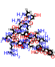 CC[C@H](C)[C@H](NC(=O)[C@@H]1C[C@@H](O)CN1C(=O)[C@@H](N)C(C)C)C(=O)N[C@@H](CCN)C(=O)N[C@@H](Cc1ccc(O)cc1)C(=O)N[C@H](C(=O)N[C@@H](CC(N)=O)C(=O)N[C@@H](CCCNC(=N)N)C(=O)N[C@@H](CCN)C(=O)N[C@H](C(=O)N[C@H](CCN)C(=O)N[C@H](C(=O)N[C@@H](CCN)C(=O)N[C@@H](CCN)C(=O)N[C@@H](CCC(=O)O)C(=O)N[C@@H](Cc1ccc(O)cc1)C(=O)O)[C@@H](C)O)[C@@H](C)O)[C@@H](C)O